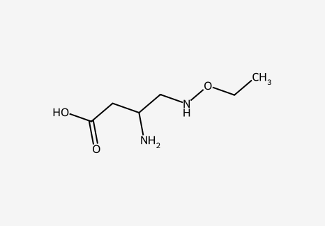 CCONCC(N)CC(=O)O